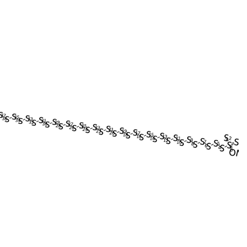 COS(=S)(=S)SSSSSSSSSSSSSSSSSSSSSSSSSSSSSSSSSS